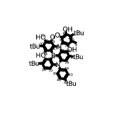 Cc1c(C(C)(C)C)c(O)c2ooc3c(O)c(C(C)(C)C)c(O)c4c3n(c2c1O)-c1cc(C(C)(C)C)cc2c1B4c1cc(C(C)(C)C)ccc1N2c1ccc(C(C)(C)C)cc1